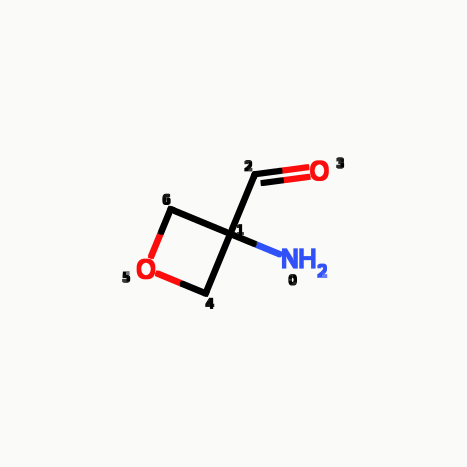 NC1(C=O)COC1